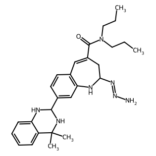 CCCN(CCC)C(=O)C1=Cc2ccc(C3Nc4ccccc4C(C)(C)N3)cc2NC(N=NN)C1